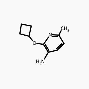 Cc1ccc(N)c(OC2CCC2)n1